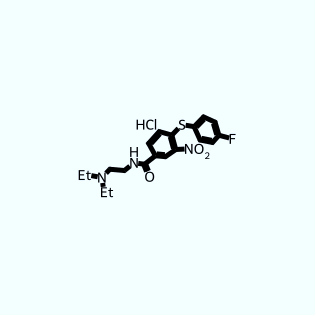 CCN(CC)CCNC(=O)c1ccc(Sc2ccc(F)cc2)c([N+](=O)[O-])c1.Cl